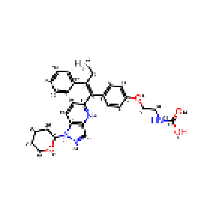 CCC(=C(c1ccc(OCCNC(=O)O)cc1)c1ccc2c(cnn2C2CCCCO2)n1)c1ccccc1